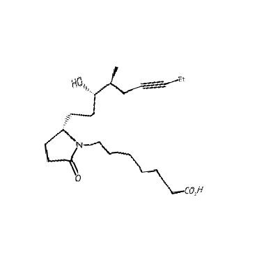 CCC#CC[C@H](C)[C@@H](O)CC[C@H]1CCC(=O)N1CCCCCCC(=O)O